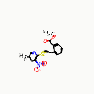 COC(=O)c1ccccc1CSc1ncc(C)cc1[N+](=O)[O-]